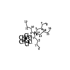 CCCC[N+](CCCC)(CCCC)CCCC.Cl[P-](Cl)(Cl)(Cl)(Cl)Cl